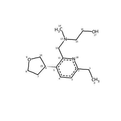 CCc1ccc([C@@H]2CCOC2)c(CN(C)CCO)n1